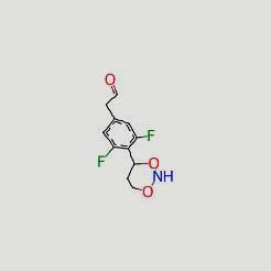 O=CCc1cc(F)c(C2CCONO2)c(F)c1